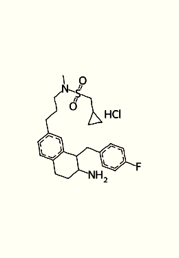 CN(CCCc1ccc2c(c1)C(Cc1ccc(F)cc1)C(N)CC2)S(=O)(=O)CC1CC1.Cl